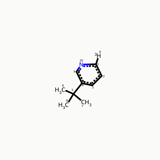 [3H]c1ccc(C(C)(C)C)cn1